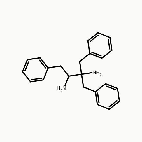 NC(Cc1ccccc1)C(N)(Cc1ccccc1)Cc1ccccc1